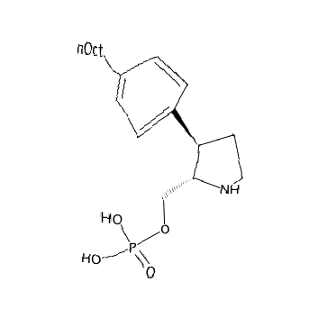 CCCCCCCCc1ccc([C@H]2CCN[C@@H]2COP(=O)(O)O)cc1